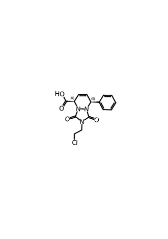 O=C(O)[C@H]1C=C[C@@H](c2ccccc2)n2c(=O)n(CCCl)c(=O)n21